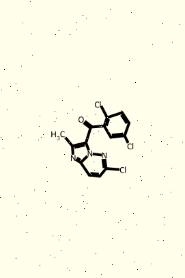 Cc1nc2ccc(Cl)nn2c1C(=O)c1cc(Cl)ccc1Cl